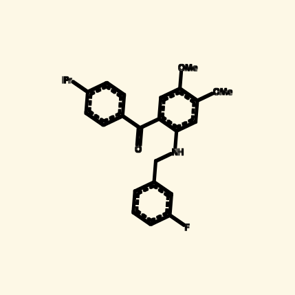 COc1cc(NCc2cccc(F)c2)c(C(=O)c2ccc(C(C)C)cc2)cc1OC